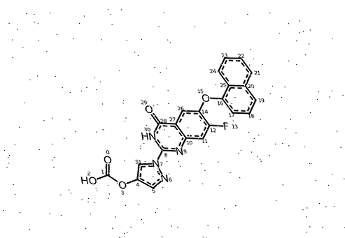 O=C(O)Oc1cnn(-c2nc3cc(F)c(Oc4cccc5ccccc45)cc3c(=O)[nH]2)c1